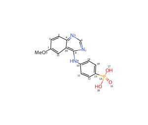 COc1ccc2ncnc(Nc3ccc(P(=O)(O)O)cc3)c2c1